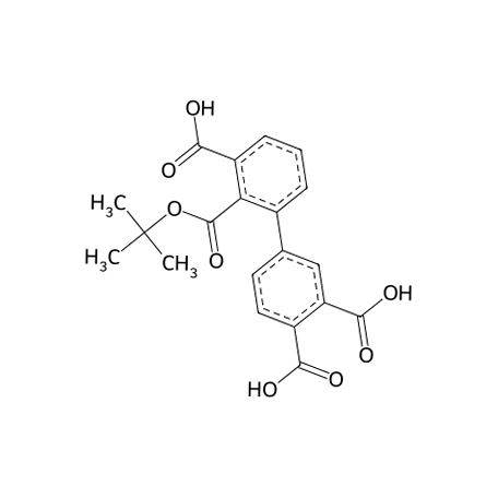 CC(C)(C)OC(=O)c1c(C(=O)O)cccc1-c1ccc(C(=O)O)c(C(=O)O)c1